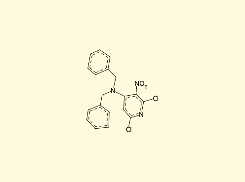 O=[N+]([O-])c1c(N(Cc2ccccc2)Cc2ccccc2)cc(Cl)nc1Cl